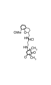 COc1cccc2c1OC(CNCCCNc1cc(=O)n(C)c(=O)n1C)CC2.Cl